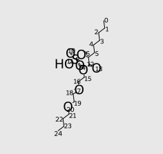 CCCCCCC(OS(=O)(=O)O)C(=O)OCCOCCOCCCC